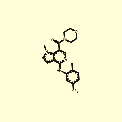 Cc1ccc(C(F)(F)F)cc1Nc1ncc(C(=O)N2CCOCC2)c2c1ccn2C